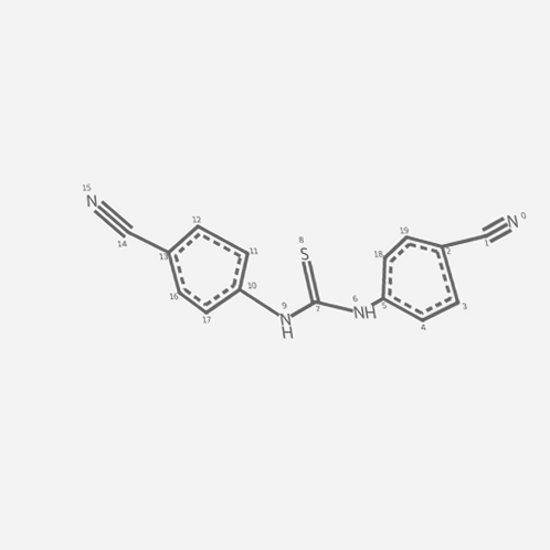 N#Cc1ccc(NC(=S)Nc2ccc(C#N)cc2)cc1